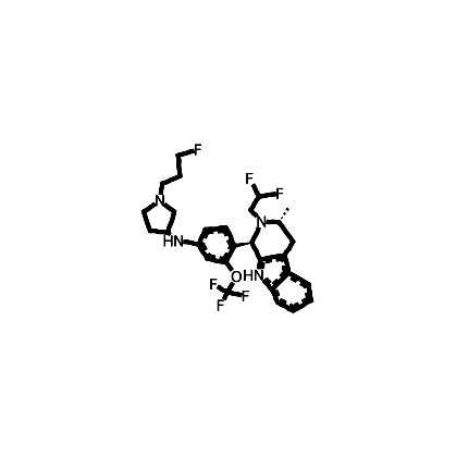 C[C@@H]1Cc2c([nH]c3ccccc23)[C@@H](c2ccc(N[C@H]3CCN(CCCF)C3)cc2OC(F)(F)F)N1CC(F)F